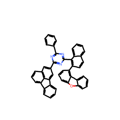 c1ccc(-c2nc(-c3cc4c5c(cccc5c3)-c3ccccc3-4)nc(-c3c(-c4cccc5oc6ccccc6c45)ccc4ccccc34)n2)cc1